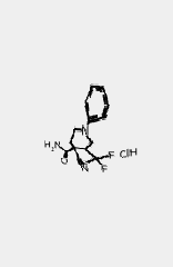 Cl.N#CC1(C(N)=O)CCN(c2ccccc2)CC1C(F)(F)F